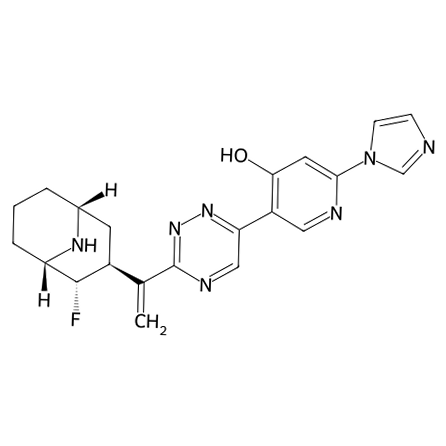 C=C(c1ncc(-c2cnc(-n3ccnc3)cc2O)nn1)[C@@H]1C[C@H]2CCC[C@H](N2)[C@H]1F